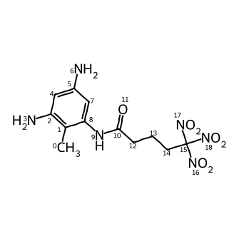 Cc1c(N)cc(N)cc1NC(=O)CCCC([N+](=O)[O-])([N+](=O)[O-])[N+](=O)[O-]